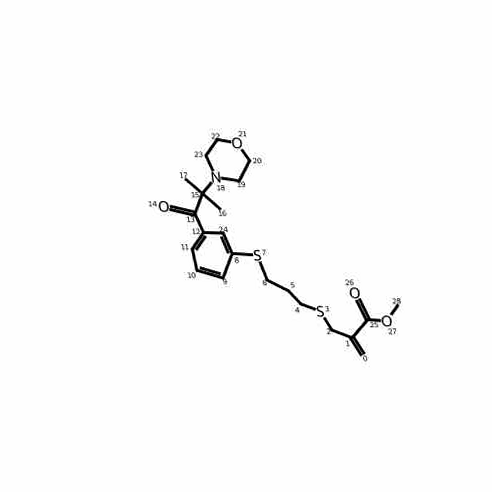 C=C(CSCCCSc1cccc(C(=O)C(C)(C)N2CCOCC2)c1)C(=O)OC